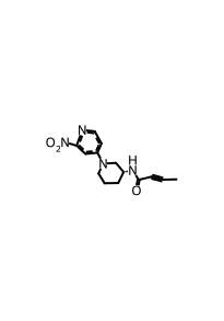 CC#CC(=O)N[C@@H]1CCCN(c2ccnc([N+](=O)[O-])c2)C1